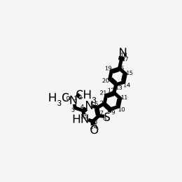 CN(C)Cc1nc2c(sc3ccc(-c4ccc(C#N)cc4)cc32)c(=O)[nH]1